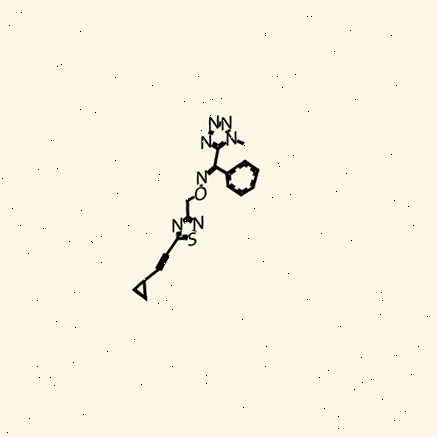 Cn1nnnc1/C(=N/OCc1nsc(C#CC2CC2)n1)c1ccccc1